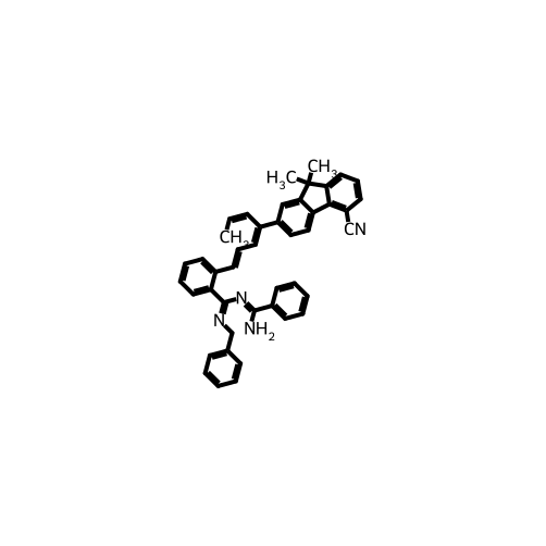 C\C=C/C(=C\C=C\c1ccccc1C(/N=C(\N)c1ccccc1)=N/Cc1ccccc1)c1ccc2c(c1)C(C)(C)c1cccc(C#N)c1-2